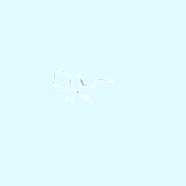 CCOC(=O)C(C)(O)C1CCCCO1